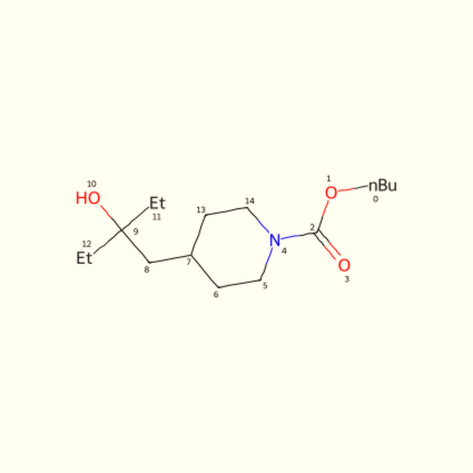 CCCCOC(=O)N1CCC(CC(O)(CC)CC)CC1